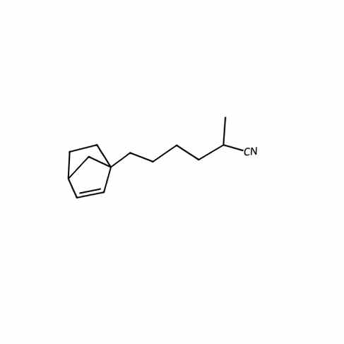 CC(C#N)CCCCC12C=CC(CC1)C2